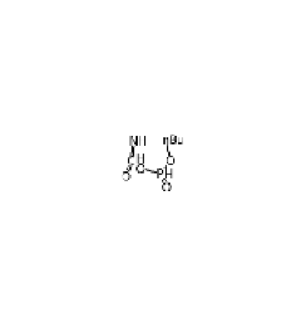 CCCCO[PH](=O)O.N=C=O